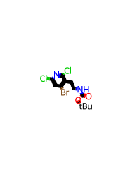 CC(C)(C)OC(=O)NCCc1c(Br)cc(Cl)nc1Cl